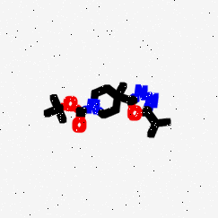 CC(C)c1nnc(C2(C)CCN(C(=O)OC(C)(C)C)CC2)o1